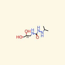 CC(C)NNC(=O)NC[C@H](O)CO